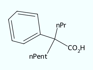 CCCCCC(CCC)(C(=O)O)c1ccccc1